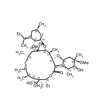 CC[C@H]1OC(=O)[C@H](C)[C@@H](O[C@H]2C[C@@](C)(OC)[C@@H](O)[C@H](C)O2)[C@H](C)[C@@H](O[C@@H]2O[C@H](C)C[C@H](N(C)CC)[C@H]2O)[C@](C)(O)C[C@@H](C)CN(C)[C@H](C)[C@@H](O)[C@]1(C)O